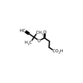 C#CC(C)(C)OC(=O)CCC(=O)O